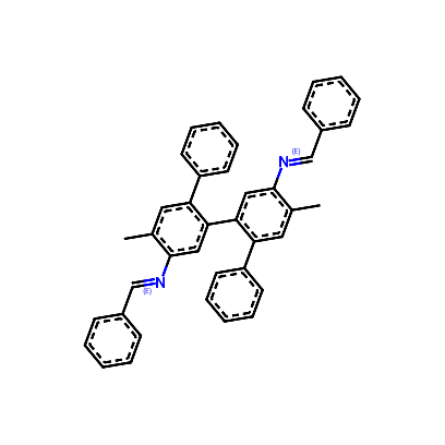 Cc1cc(-c2ccccc2)c(-c2cc(/N=C/c3ccccc3)c(C)cc2-c2ccccc2)cc1/N=C/c1ccccc1